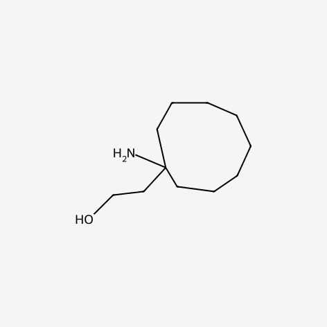 NC1(CCO)CCCCCCCC1